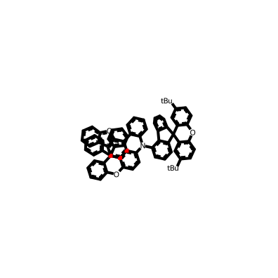 CC(C)(C)c1ccc2c(c1)C1(c3cc(C(C)(C)C)ccc3O2)c2ccccc2-c2c(N(c3ccc4c(c3)C(c3ccccc3)(c3ccccc3)c3ccccc3O4)c3ccccc3-c3cccc4c3oc3ccccc34)cccc21